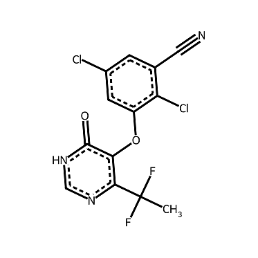 CC(F)(F)c1nc[nH]c(=O)c1Oc1cc(Cl)cc(C#N)c1Cl